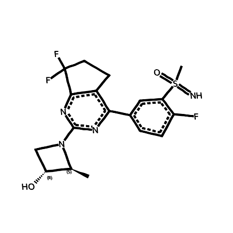 C[C@H]1[C@H](O)CN1c1nc(-c2ccc(F)c(S(C)(=N)=O)c2)c2c(n1)C(F)(F)CC2